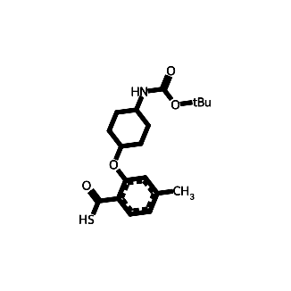 Cc1ccc(C(=O)S)c(OC2CCC(NC(=O)OC(C)(C)C)CC2)c1